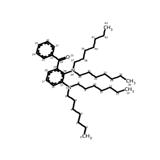 CCCCCCCN(CCCCCCC)c1cccc(C(=O)c2ccccc2)c1N(CCCCCCC)CCCCCCC